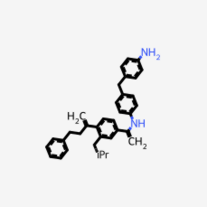 C=C(Nc1ccc(Cc2ccc(N)cc2)cc1)c1ccc(C(=C)CCc2ccccc2)c(CC(C)C)c1